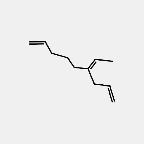 C=CCCCC(=CC)CC=C